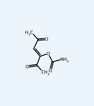 CC(=O)C=C(OC(N)=O)C(C)=O